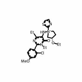 CCO[C@H]1CC[N+](Nc2c(CC)nc(-c3ccc(OC)cc3Cl)n(CC)c2=O)(c2nccs2)C1